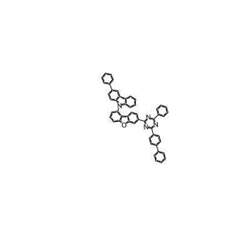 c1ccc(-c2ccc(-c3nc(-c4ccccc4)nc(-c4ccc5c(c4)oc4cccc(-n6c7ccccc7c7cc(-c8ccccc8)ccc76)c45)n3)cc2)cc1